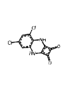 O=c1c2c(c1=O)Nc1c(Cl)cc(Cl)cc1N2